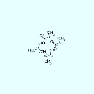 C=CC(=O)OCC(C)C.C=CC(=O)OCCCC